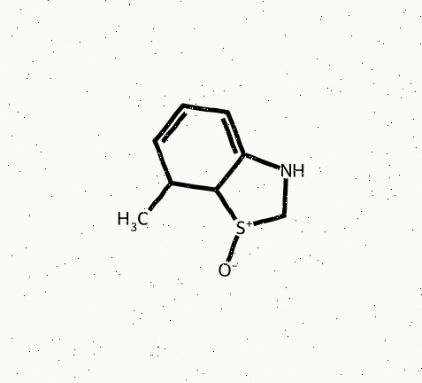 CC1C=CC=C2NC[S+]([O-])C21